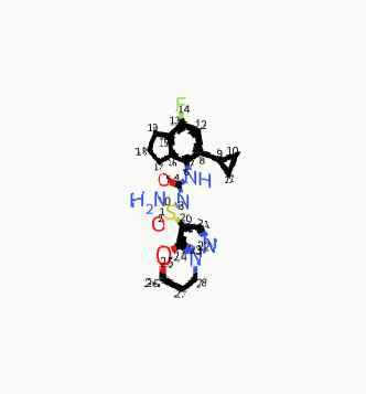 NS(=O)(=NC(=O)Nc1c(C2CC2)cc(F)c2c1CCC2)c1cnn2c1OCCC2